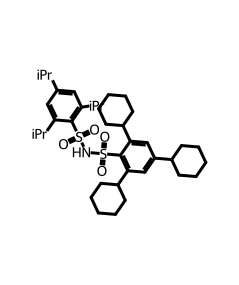 CC(C)c1cc(C(C)C)c(S(=O)(=O)NS(=O)(=O)c2c(C3CCCCC3)cc(C3CCCCC3)cc2C2CCCCC2)c(C(C)C)c1